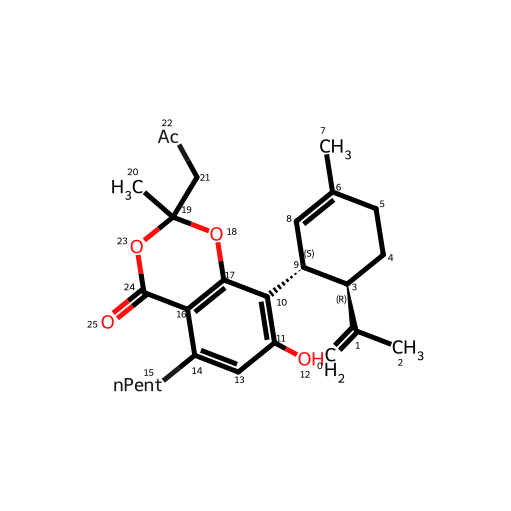 C=C(C)[C@@H]1CCC(C)=C[C@H]1c1c(O)cc(CCCCC)c2c1OC(C)(CC(C)=O)OC2=O